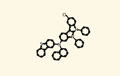 Clc1ccc2c(c1)c1c3ccc(N(c4ccc5sc6ccccc6c5c4)c4cccc5ccccc45)cc3n(-c3ccccc3)c1n2-c1ccccc1